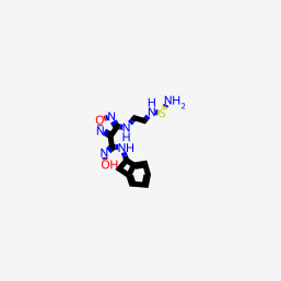 NSNCCNc1nonc1/C(=N/O)NC1Cc2ccccc21